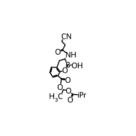 CC(OC(=O)c1cccc2c1OB(O)[C@@H](NC(=O)CCC#N)C2)OC(=O)C(C)C